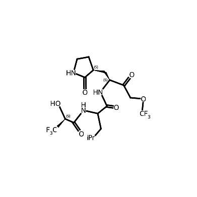 CC(C)CC(NC(=O)[C@H](O)C(F)(F)F)C(=O)N[C@@H](C[C@@H]1CCNC1=O)C(=O)COC(F)(F)F